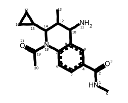 CNC(=O)c1ccc2c(c1)C(N)C(C)C(C1CC1)N2C(C)=O